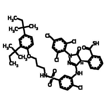 CCC(C)(C)c1ccc(OCCCNS(=O)(=O)c2ccc(Cl)c(NC3=NN(c4c(Cl)cc(Cl)cc4Cl)C(=O)[C@H]3c3ccccc3C(=O)S)c2)c(C(C)(C)CC)c1